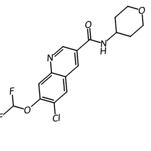 O=C(NC1CCOCC1)c1cnc2cc(OC(F)F)c(Cl)cc2c1